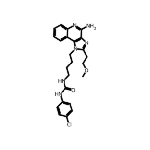 COCCc1nc2c(N)nc3ccccc3c2n1CCCCNC(=O)Nc1ccc(Cl)cc1